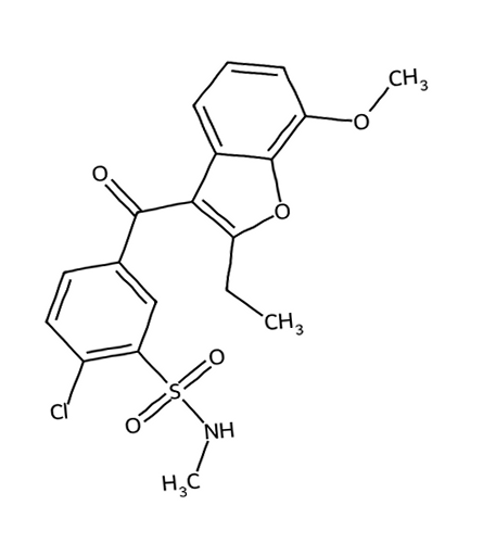 CCc1oc2c(OC)cccc2c1C(=O)c1ccc(Cl)c(S(=O)(=O)NC)c1